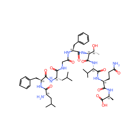 CC(C)C[C@H](NC(=O)[C@H](Cc1ccccc1)NC(=O)[C@@H](N)CC(C)C)C(=O)NCC(=O)N[C@@H](Cc1ccccc1)C(=O)N[C@H](C(=O)N[C@H](C(=O)N[C@@H](CCC(N)=O)C(=O)N[C@@H](C)C(=O)O)C(C)C)[C@@H](C)O